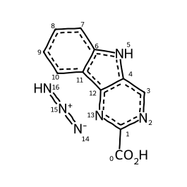 O=C(O)c1ncc2[nH]c3ccccc3c2n1.[N-]=[N+]=N